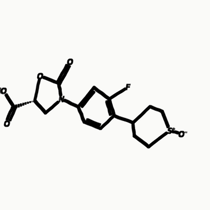 O=C(O)[C@H]1CN(c2ccc(C3CC[S+]([O-])CC3)c(F)c2)C(=O)O1